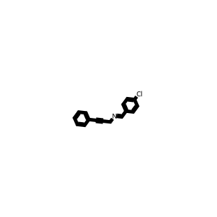 Clc1ccc(C=NCC#Cc2ccccc2)cc1